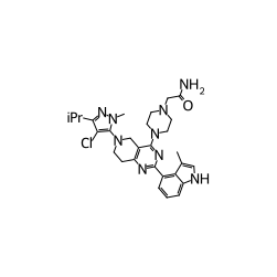 Cc1c[nH]c2cccc(-c3nc4c(c(N5CCN(CC(N)=O)CC5)n3)CN(c3c(Cl)c(C(C)C)nn3C)CC4)c12